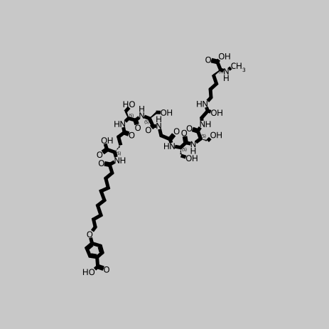 CN[C@@H](CCCCNC(O)CNC(=O)[C@H](CO)NC(=O)[C@H](CO)NC(=O)CNC(=O)[C@H](CO)NC(=O)[C@H](CO)NC(=O)CC[C@H](NC(=O)CCCCCCCCCOc1ccc(C(=O)O)cc1)C(=O)O)C(=O)O